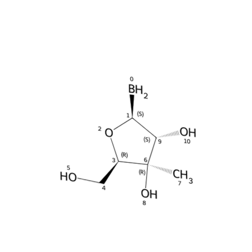 B[C@@H]1O[C@H](CO)[C@](C)(O)[C@H]1O